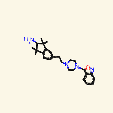 CC1(C)c2ccc(CCN3CCN(c4onc5ccccc45)CC3)cc2C(C)(C)C1N